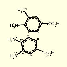 Cc1cc(C(=O)O)ccc1N.Nc1ccc(C(=O)O)cc1N